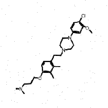 COc1cc(N2CCN(CCc3ccc(OCCCN(C)C)c(C)c3C)CC2)ccc1Cl